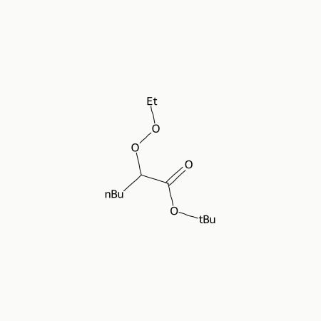 CCCCC(OOCC)C(=O)OC(C)(C)C